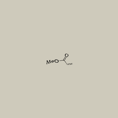 [C]OC(=O)C=C